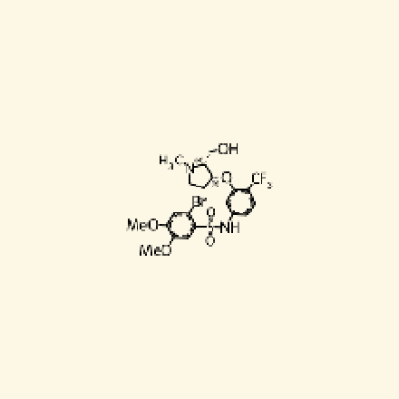 COc1cc(Br)c(S(=O)(=O)Nc2ccc(C(F)(F)F)c(O[C@@H]3CCN(C)[C@@H]3CO)c2)cc1OC